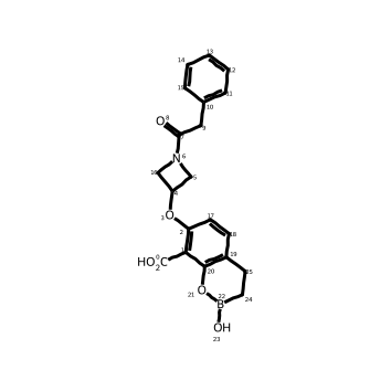 O=C(O)c1c(OC2CN(C(=O)Cc3ccccc3)C2)ccc2c1OB(O)CC2